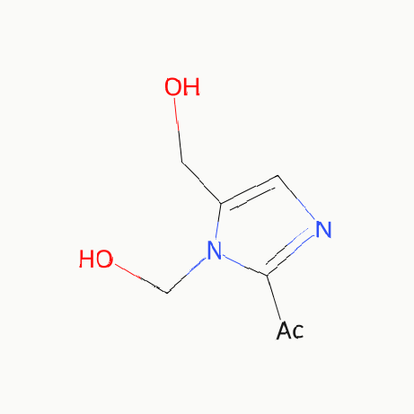 CC(=O)c1ncc(CO)n1CO